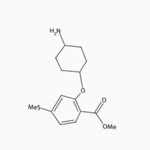 COC(=O)c1ccc(SC)cc1OC1CCC(N)CC1